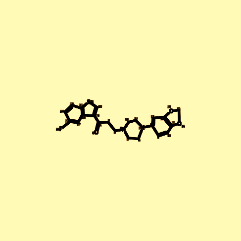 O=C(CCN1CCN(c2ccc3c(c2)OCO3)CC1)c1csc2ccc(F)cc12